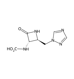 O=C(O)N[C@@H]1C(=O)N[C@H]1Cn1cncn1